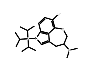 CC(C)[Si](C(C)C)(C(C)C)n1cc2c3c(c(Br)ccc31)OCC(N(C)C)C2